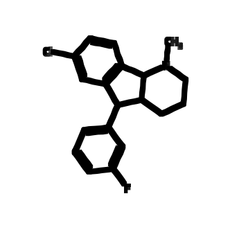 CN1CCCC2C(c3cccc(F)c3)c3cc(Cl)ccc3C21